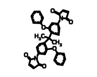 CC(C)(c1ccc(N2C(=O)C=CC2=O)cc1Oc1ccccc1)c1ccc(N2C(=O)C=CC2=O)cc1Oc1ccccc1